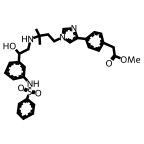 COC(=O)Cc1ccc(-c2cn(CCC(C)(C)NCC(O)c3cccc(NS(=O)(=O)c4ccccc4)c3)cn2)cc1